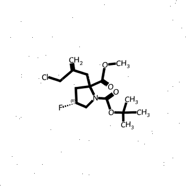 C=C(CCl)CC1(C(=O)OC)C[C@@H](F)CN1C(=O)OC(C)(C)C